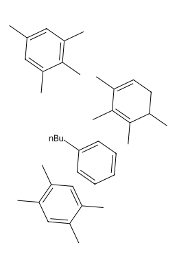 CC1=CCC(C)C(C)=C1C.CCCCc1ccccc1.Cc1cc(C)c(C)c(C)c1.Cc1cc(C)c(C)cc1C